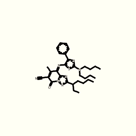 CCCCC(CC)c1nc2n(n1)C(=O)C(C#N)=C(C)/C2=N/c1sc(N(CCCC)CCCC)nc1-c1ccccc1